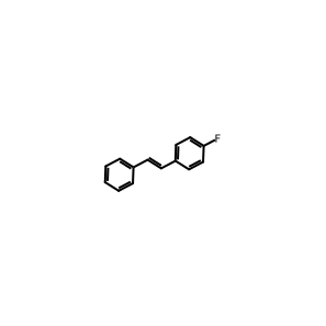 Fc1ccc(C=Cc2ccccc2)cc1